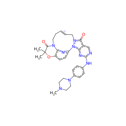 CN1CCN(c2ccc(Nc3ncc4c(=O)n5n(c4n3)-c3ccc4c(n3)N(CC/C=C/C5)C(=O)C(C)(C)O4)cc2)CC1